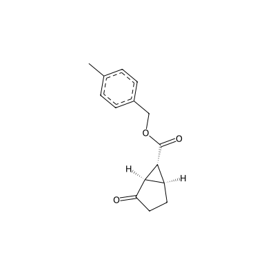 Cc1ccc(COC(=O)[C@@H]2[C@H]3CCC(=O)[C@H]32)cc1